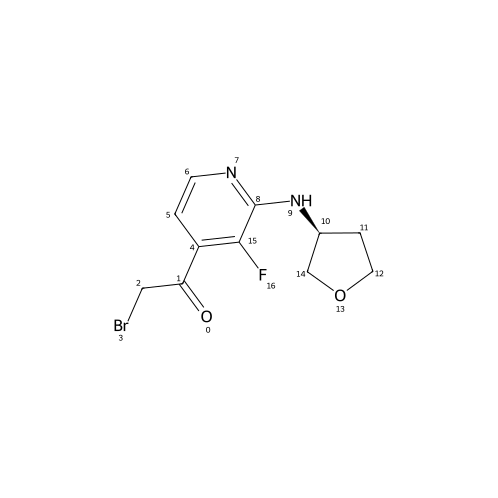 O=C(CBr)c1ccnc(N[C@H]2CCOC2)c1F